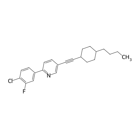 CCCCC1CCC(C#Cc2ccc(-c3ccc(Cl)c(F)c3)nc2)CC1